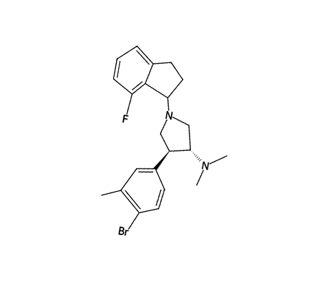 Cc1cc([C@H]2CN(C3CCc4cccc(F)c43)C[C@@H]2N(C)C)ccc1Br